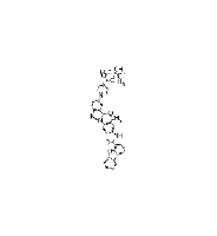 Cc1cc(NC(=O)c2cccc3c2oc2ccccc23)ccc1-n1cnc2ccc(N3CCN(C(=O)OC(C)(C)C)CC3)cc2c1=O